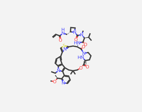 C=CC(=O)NC[C@@H]1CCN1C(=O)N(C)[C@H](C(=O)N[C@H]1Cc2nc(cs2)-c2ccc3c(c2)c(c(-c2cccnc2[C@H](C)OC)n3CC)CC(C)(C)COC(=O)[C@@H]2CCCN(N2)C1=O)C(C)C